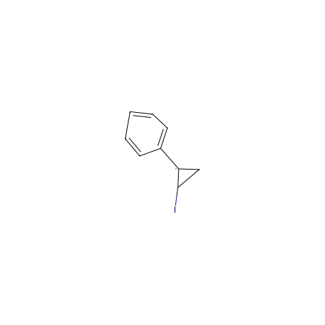 IC1C[C]1c1ccccc1